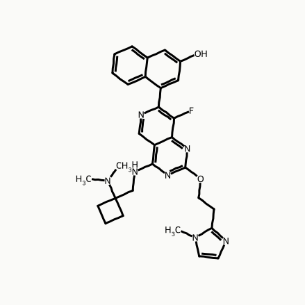 CN(C)C1(CNc2nc(OCCc3nccn3C)nc3c(F)c(-c4cc(O)cc5ccccc45)ncc23)CCC1